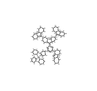 c1ccc([Si](c2ccccc2)(c2ccccc2)c2ccc(-c3nc(-c4cccc5c4sc4ccccc45)nc(-n4c5ccc(-n6c7ccccc7c7ccccc76)cc5c5cc(-n6c7ccccc7c7ccccc76)ccc54)n3)cc2)cc1